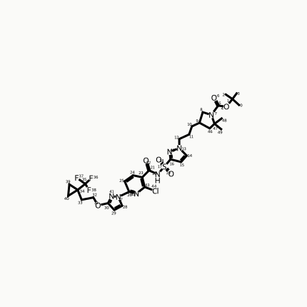 CC(C)(C)OC(=O)N1CC(CCCn2ccc(S(=O)(=O)NC(=O)c3ccc(-n4ccc(OCCC5(C(F)(F)F)CC5)n4)nc3Cl)n2)CC1(C)C